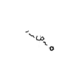 CC(C)OC(=O)CCC[C@H]1CC[C@@H]2[C@@H](C=C[C@@H](O)COc3cccc(F)c3F)[C@H](O)C[C@@H]2OC1